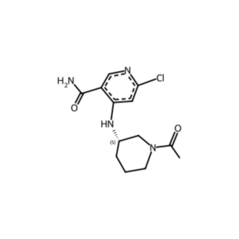 CC(=O)N1CCC[C@H](Nc2cc(Cl)ncc2C(N)=O)C1